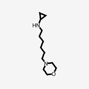 C(CCCN1CCOCC1)CCNC1CC1